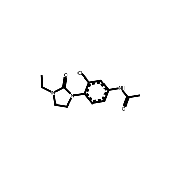 CCN1CCN(c2ccc(NC(C)=O)cc2Cl)C1=O